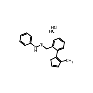 CC1=C(c2ccccc2[CH2][Ti][NH]c2ccccc2)CC=C1.Cl.Cl